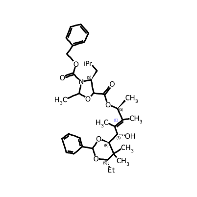 CC[C@@H]1OC(c2ccccc2)O[C@@H]([C@@H](O)/C(C)=C(\C)[C@H](C)OC(=O)C2OC(C)N(C(=O)OCc3ccccc3)[C@H]2CC(C)C)C1(C)C